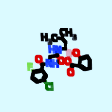 CC(C)C[C@H](NC(=O)CNC(=O)c1cc(Cl)ccc1F)B1OC(=O)c2ccccc2O1